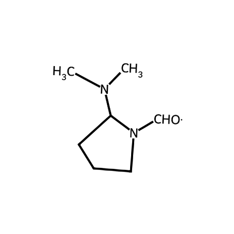 CN(C)C1CCCN1[C]=O